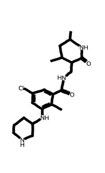 Cc1c(NC2CCCNC2)cc(Cl)cc1C(=O)NCC1C(=O)NC(C)CC1C